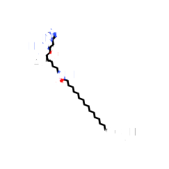 CC(=O)[C@@H](CCCCNC(=O)CCCCCCCCCCCCCCCCC(=O)O)CC(=O)[C@@H](N)Cc1cnc[nH]1